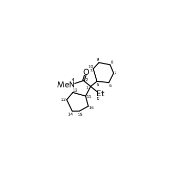 CCC(C(=O)NC)(C1CCCCC1)C1CCCCC1